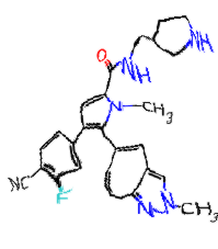 Cn1cc2cc(-c3c(-c4ccc(C#N)c(F)c4)cc(C(=O)NC[C@H]4CCNC4)n3C)ccc2n1